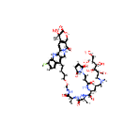 CC[C@@]1(O)C(=O)OCc2c1cc1n(c2=O)Cc2c-1nc1cc(F)c(C)cc1c2CCCCOCNC(=O)[C@H](C)NC(=O)[C@H](C)NC(=O)[C@H](CCCN(C)C[C@H](O)[C@@H](O)[C@H](O)[C@H](O)CO)NC(=O)CCN1C(=O)C=CC1=O